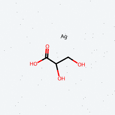 O=C(O)C(O)CO.[Ag]